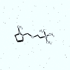 CN1CC=CN1COCC[Si](C)(C)C